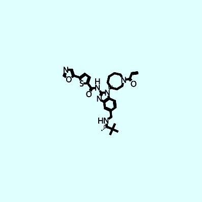 C=CC(=O)N1CCCC[C@@H](n2c(NC(=O)c3ccc(-c4cnco4)s3)nc3cc(CN[C@@H](C)C(C)(C)C)ccc32)CC1